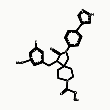 COc1cc(F)cc(CN2C(=O)N(c3ccc(-c4cn[nH]c4)cc3)CC23CCN(C(=O)OC(C)(C)C)CC3)c1